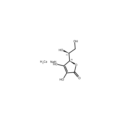 O=C1O[C@H]([C@@H](O)CO)C(O)=C1O.[CaH2].[NaH]